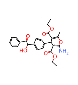 CCOC(=O)C1=C(C)OC(N)=C(C(=O)OCC)C1c1ccc(C(O)C(=O)c2ccccc2)cc1